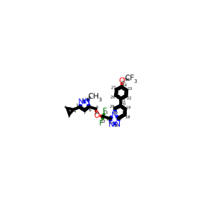 Cn1nc(C2CC2)cc1COC(F)(F)c1nnc2ccc(-c3ccc(OC(F)(F)F)cc3)cn12